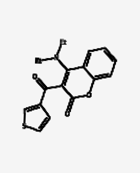 CCN(CC)c1c(C(=O)c2ccsc2)c(=O)oc2ccccc12